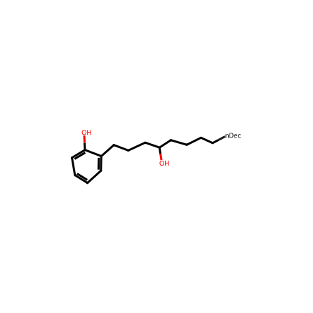 CCCCCCCCCCCCCCC(O)CCCc1ccccc1O